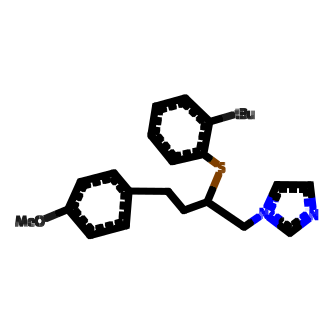 COc1ccc(CCC(Cn2ccnc2)Sc2ccccc2C(C)(C)C)cc1